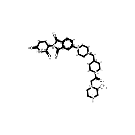 C[C@H]1CNCCN1CC(=O)N1CCC(CN2CCN(c3ccc4c(c3)C(=O)N(C3CCC(=O)NC3=O)C4=O)CC2)CC1